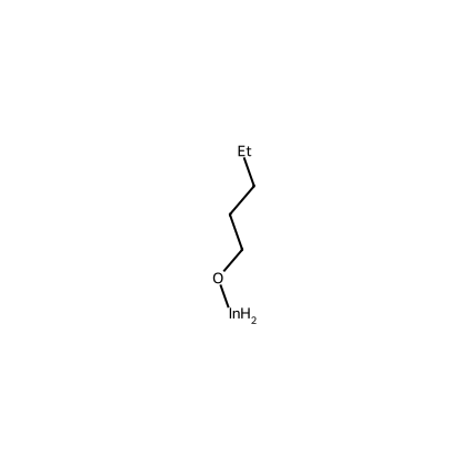 CCCCC[O][InH2]